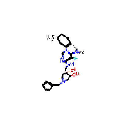 CCN(C[C@H]1CC[C@H](C)CC1)c1ncnc(NC[C@@]2(O)CCN(Cc3ccccc3)C[C@@H]2O)c1F